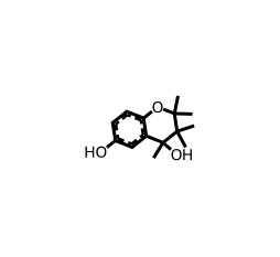 CC1(C)Oc2ccc(O)cc2C(C)(O)C1(C)C